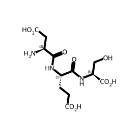 N[C@@H](CC(=O)O)C(=O)N[C@@H](CCC(=O)O)C(=O)N[C@@H](CO)C(=O)O